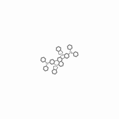 c1ccc(N(c2ccccc2)c2ccc3c(c2)[Si]2(Cc4ccccc4C2)c2cc4c5c(cccc5c2-3)[Si]2(Cc3ccccc3C2)c2cc(N(c3ccccc3)c3ccccc3)ccc2-4)cc1